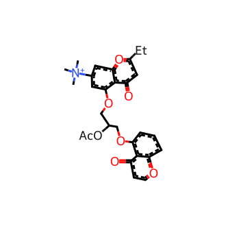 CCc1cc(=O)c2c(OCC(COc3cccc4occc(=O)c34)OC(C)=O)cc([N+](C)(C)C)cc2o1